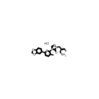 Cc1ccc(-c2ccc3c(c2)OCO3)nc1-n1cnn(C/C(=C/F)CN)c1=O.Cl